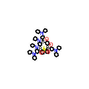 c1ccc(N(c2ccccc2)c2cc3c4c(c2)Oc2c(sc5ccccc25)B4c2cc4c(cc2O3)Oc2cc(N(c3ccccc3)c3ccccc3)cc3c2B4c2cc4c(cc2N3c2ccccc2)N(c2ccccc2)c2cc(N(c3ccccc3)c3ccccc3)cc3c2B4c2sc4ccccc4c2O3)cc1